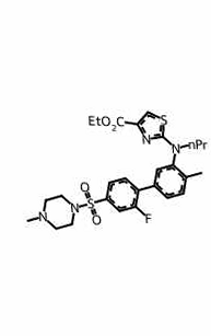 CCCN(c1nc(C(=O)OCC)cs1)c1cc(-c2ccc(S(=O)(=O)N3CCN(C)CC3)cc2F)ccc1C